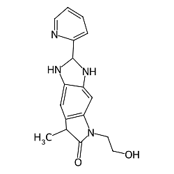 CC1C(=O)N(CCO)c2cc3c(cc21)NC(c1ccccn1)N3